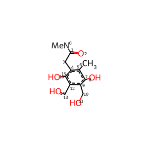 CNC(=O)Cc1c(C)c(O)c(CO)c(CO)c1O